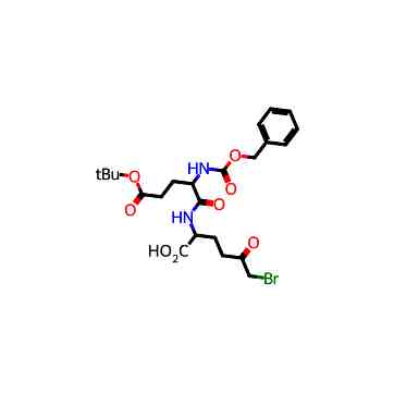 CC(C)(C)OC(=O)CCC(NC(=O)OCc1ccccc1)C(=O)NC(CCC(=O)CBr)C(=O)O